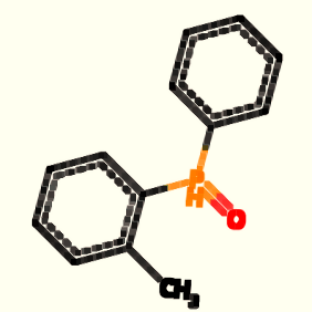 Cc1ccccc1[PH](=O)c1ccccc1